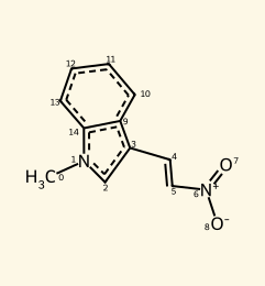 Cn1cc(C=C[N+](=O)[O-])c2ccccc21